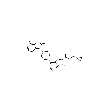 Cn1c(C(=O)NCC2CC2)nc2c(N3CCC(n4c(=O)[nH]c5c(Cl)cccc54)CC3)ncnc21